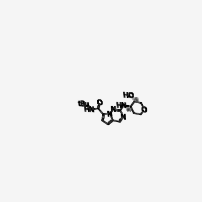 CC(C)(C)NC(=O)c1ccc2cnc(N[C@@H]3CCOC[C@H]3O)nn12